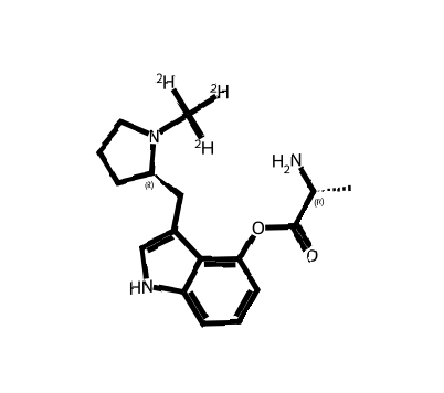 [2H]C([2H])([2H])N1CCC[C@@H]1Cc1c[nH]c2cccc(OC(=O)[C@@H](C)N)c12